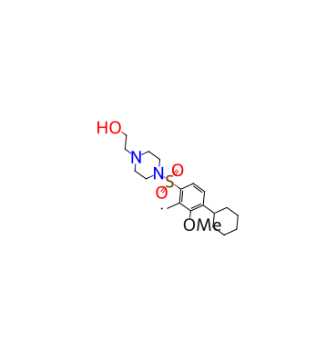 [CH2]c1c(S(=O)(=O)N2CCN(CCO)CC2)ccc(C2CCCCC2)c1OC